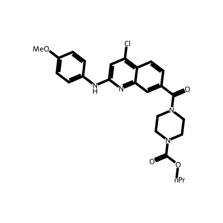 CCCOC(=O)N1CCN(C(=O)c2ccc3c(Cl)cc(Nc4ccc(OC)cc4)nc3c2)CC1